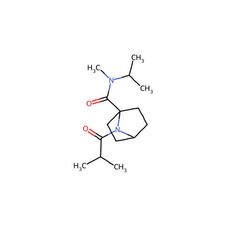 CC(C)C(=O)N1C2CCC1(C(=O)N(C)C(C)C)CC2